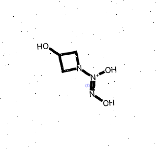 O/N=[N+](\O)N1CC(O)C1